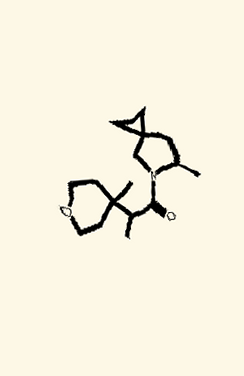 CC(C(=O)N1CC2(CC2)C[C@H]1C)C1(C)CCOCC1